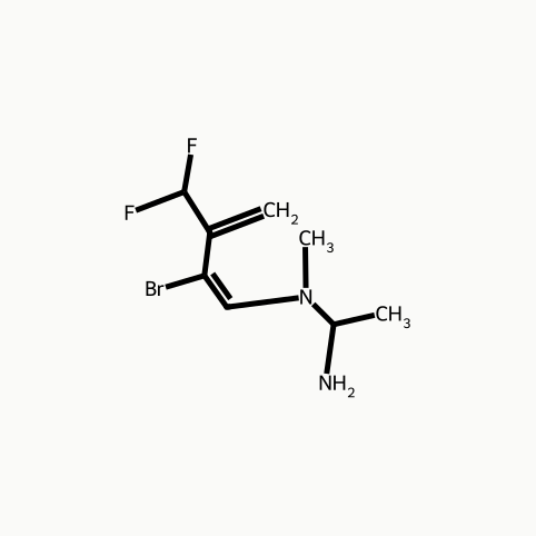 C=C(/C(Br)=C\N(C)C(C)N)C(F)F